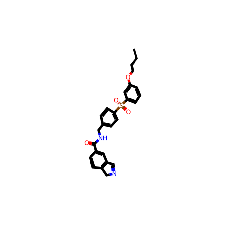 CCCCOc1cccc(S(=O)(=O)c2ccc(CNC(=O)c3ccc4c(c3)C=NC4)cc2)c1